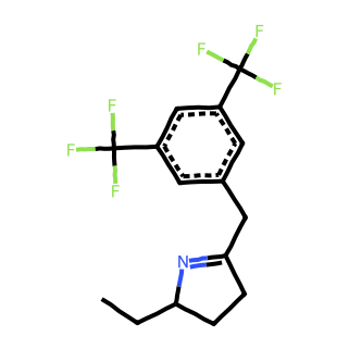 CCC1CCC(Cc2cc(C(F)(F)F)cc(C(F)(F)F)c2)=N1